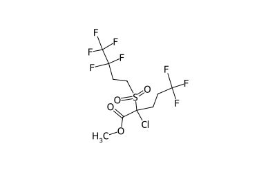 COC(=O)C(Cl)(CCC(F)(F)F)S(=O)(=O)CCC(F)(F)C(F)(F)F